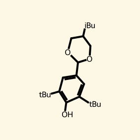 CCC(C)C1COC(c2cc(C(C)(C)C)c(O)c(C(C)(C)C)c2)OC1